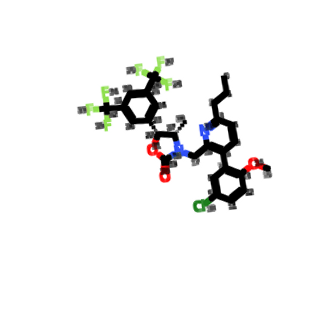 CCCc1ccc(-c2cc(Cl)ccc2OC)c(CN2C(=O)O[C@H](c3cc(C(F)(F)F)cc(C(F)(F)F)c3)[C@@H]2C)n1